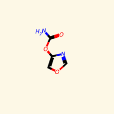 NC(=O)Oc1cocn1